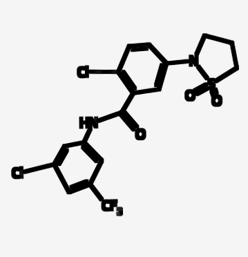 O=C(Nc1cc(Cl)cc(C(F)(F)F)c1)c1cc(N2CCCS2(=O)=O)ccc1Cl